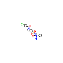 O=C(c1ccc(Cl)cc1)N1CCc2cc(S(=O)(=O)N3CC(c4ccccc4)NC3=O)ccc21